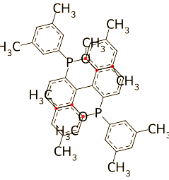 COc1cccc(P(c2cc(C)cc(C)c2)c2cc(C)cc(C)c2)c1-c1c(OC)cccc1P(c1cc(C)cc(C)c1)c1cc(C)cc(C)c1